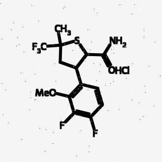 COc1c(C2CC(C)(C(F)(F)F)SC2C(N)=O)ccc(F)c1F.Cl